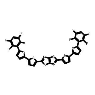 Fc1cc(F)c(F)c(-c2ccc(-c3ccc(-c4nc5sc(-c6ccc(-c7ccc(-c8c(F)c(F)cc(F)c8F)s7)s6)nc5s4)s3)s2)c1F